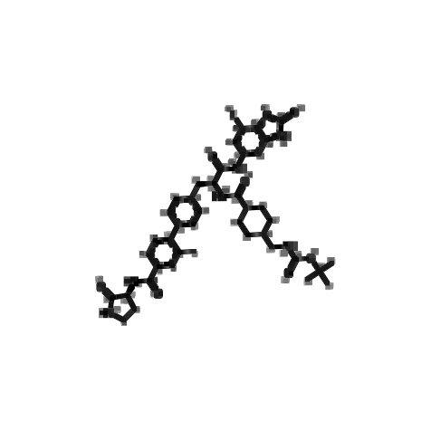 Cc1cc(C(=O)N[C@H]2CCNC2=O)ccc1-c1ccc(C[C@H](NC(=O)C2CCC(CNC(=O)OC(C)(C)C)CC2)C(=O)Nc2cc(F)c3oc(=O)[nH]c3c2)cc1